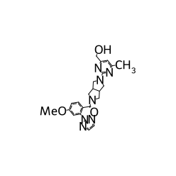 COc1ccc(C(=O)N2CC3CN(c4nc(C)cc(CO)n4)CC3C2)c(-n2nccn2)c1